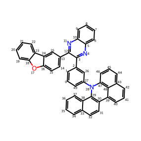 c1cc(-c2nc3ccccc3nc2-c2ccc3oc4ccccc4c3c2)cc(N2c3c(ccc4ccccc34)-c3cccc4cccc2c34)c1